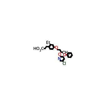 CCc1cc(OCCC(C)Oc2ncc(Cl)cc2Oc2ccccc2)ccc1CCC(=O)O